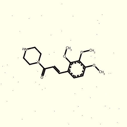 COc1ccc(/C=C/C(=O)N2CCNCC2)c(OC)c1OC